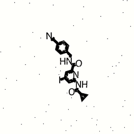 N#Cc1ccc(CNC(=O)c2cc(I)cc(NC(=O)C3CC3)n2)cc1